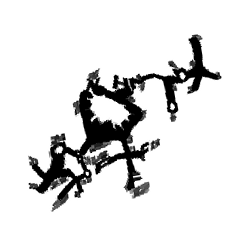 CC(C)(C)OC(=O)Nc1cc(C(F)(F)F)c(B2OC(C)(C)C(C)(C)O2)cn1